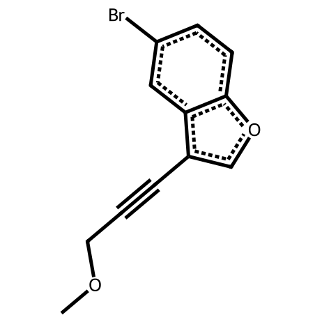 COCC#Cc1coc2ccc(Br)cc12